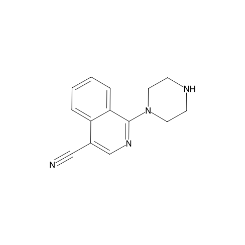 N#Cc1cnc(N2CCNCC2)c2ccccc12